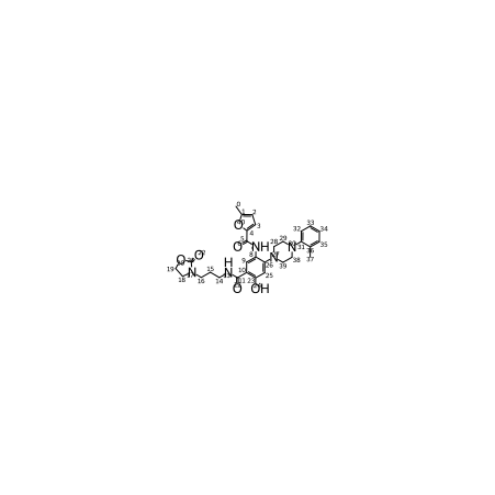 Cc1ccc(C(=O)Nc2cc(C(=O)NCCCN3CCOC3=O)c(O)cc2N2CCN(c3ccccc3C)CC2)o1